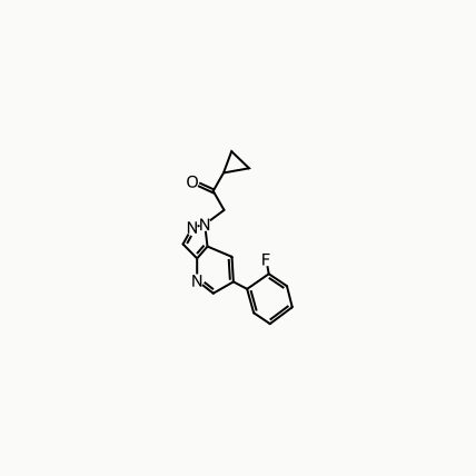 O=C(Cn1ncc2ncc(-c3ccccc3F)cc21)C1CC1